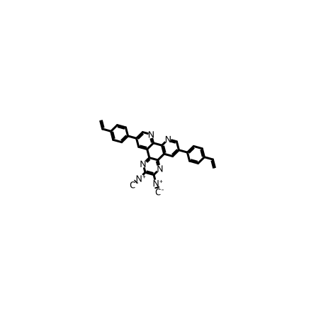 [C-]#[N+]c1nc2c3cc(-c4ccc(C=C)cc4)cnc3c3ncc(-c4ccc(C=C)cc4)cc3c2nc1[N+]#[C-]